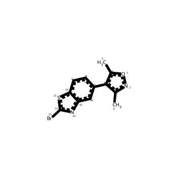 Cc1noc(C)c1-c1ccc2sc(Br)nc2c1